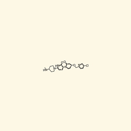 CNC1CCN(c2ccc(-n3ccc(OCc4ccc(Cl)cn4)cc3=O)c(=O)[nH]2)CC1